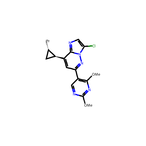 COc1ncc(-c2cc([C@H]3C[C@@H]3C(C)C)c3ncc(Cl)n3n2)c(OC)n1